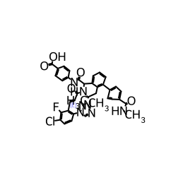 CNC(=O)c1ccc(-c2cccc3c2CC(C)(C)N(C(=O)/C=C/c2c(-n4cnnn4)ccc(Cl)c2F)C3C(=O)Nc2ccc(C(=O)O)cc2)cc1